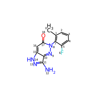 Cc1cccc(F)c1-n1nc2c(N)n[nH]c2cc1=O